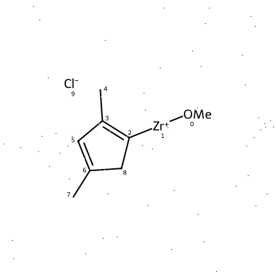 C[O][Zr+][C]1=C(C)C=C(C)C1.[Cl-]